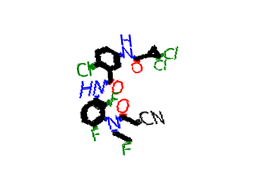 N#CCC(=O)N(CCF)c1c(F)ccc(NC(=O)c2cc(NC(=O)C3CC3(Cl)Cl)ccc2Cl)c1F